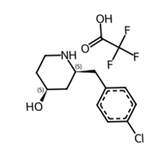 O=C(O)C(F)(F)F.O[C@H]1CCN[C@@H](Cc2ccc(Cl)cc2)C1